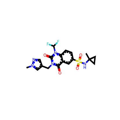 Cn1cc(Cn2c(=O)c3cc(S(=O)(=O)NC4(C)CC4)ccc3n(C(F)F)c2=O)cn1